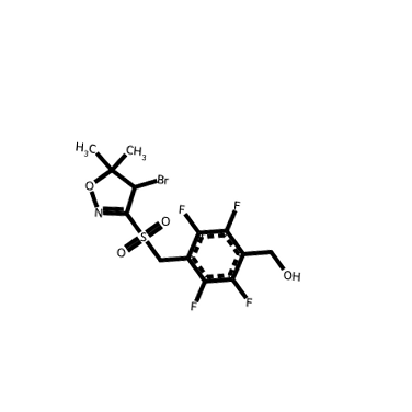 CC1(C)ON=C(S(=O)(=O)Cc2c(F)c(F)c(CO)c(F)c2F)C1Br